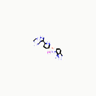 CN1CCn2ncc(-c3ccc(S(=O)(=O)Nc4cccc5cnn(C)c45)cn3)c2C1